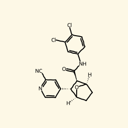 N#Cc1cc([C@@H]2[C@@H](C(=O)Nc3ccc(Cl)c(Cl)c3)[C@H]3CC[C@@H]2O3)ccn1